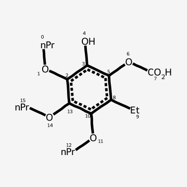 CCCOc1c(O)c(OC(=O)O)c(CC)c(OCCC)c1OCCC